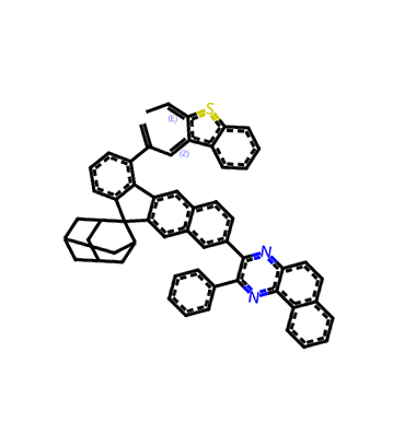 C=C(/C=c1\c(=C/C)sc2ccccc12)c1cccc2c1-c1cc3ccc(-c4nc5ccc6ccccc6c5nc4-c4ccccc4)cc3cc1C21C2CC3CC(C2)CC1C3